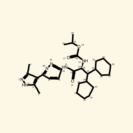 Cc1n[nH]c(C)c1-c1ccc(NC(=O)[C@@H](NC(=O)OC(C)C)C(C2CCCCC2)C2CCCCC2)nn1